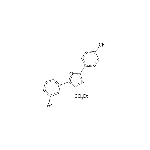 CCOC(=O)c1nc(-c2ccc(C(F)(F)F)cc2)oc1-c1cccc(C(C)=O)c1